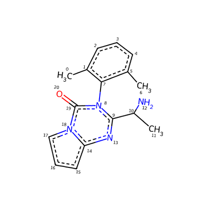 Cc1cccc(C)c1-n1c(C(C)N)nc2cccn2c1=O